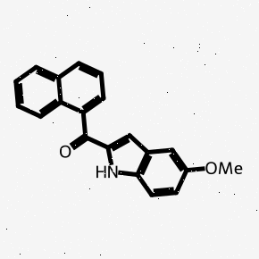 COc1ccc2[nH]c(C(=O)c3cccc4ccccc34)cc2c1